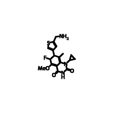 COC1=c2c(=O)[nH]c(=O)n(C3CC3)c2=C(C)C(c2csc(CN)c2)C1F